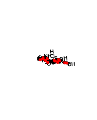 Cl.Nc1nc2c(sc(=O)n2CCN2CCN(c3ccc(C(=O)NCCNCCO)cc3F)CC2)c2nc(-c3ccco3)nn12